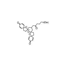 CCCCCCCCCCCCCC(=O)CC1CC2(CCC3(C=CC(=O)C=C3)O2)O[C@@]2(CCC3(C=CC(=O)C=C3)O2)C1